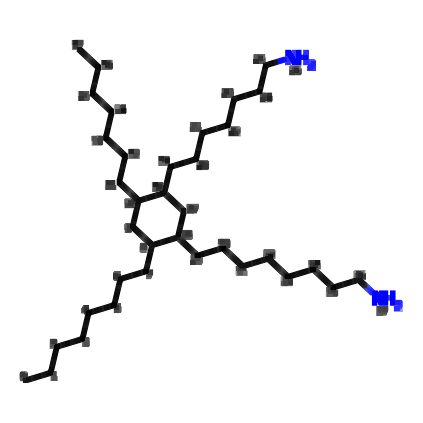 CCCCCCCCC1CC(CCCCCCC)C(CCCCCCCN)CC1CCCCCCCCN